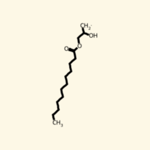 [CH2]C(O)COC(=O)CCCCCCCCCCC